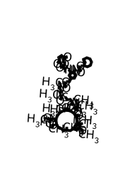 COC(=O)N[C@]1(O)CC[C@@H](C)[C@@H]2O[C@@]2(C)[C@@H](OC(=O)[C@H](C)N(C)C(=O)CCSC(=O)N(C)CCN(C)C(=O)OCc2ccc(NC(=O)OC3/C=C/CCCCC3)c(NCC(=O)ON3C(=O)CCC3=O)c2)CC(=O)N(C)c2cc(cc(OC)c2Cl)C/C(C)=C/C=C/[C@H]1OC